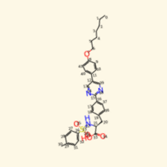 CCCCCCCOc1ccc(-c2cnc(-c3ccc(C[C@H](NS(=O)(=O)c4ccc(C)cc4)C(=O)O)cc3)nc2)cc1